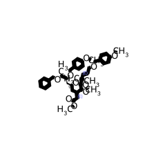 COC(=O)/C=C1\C[C@@H](C[C@@H](OCc2ccc(OC)cc2)[C@@H](C)OCc2ccccc2)O[C@@](OC)(C(C)(C)/C=C/COCc2ccc(OC)cc2)C1=O